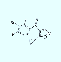 Cc1c(C(=S)c2cnoc2C2CC2)ccc(F)c1Br